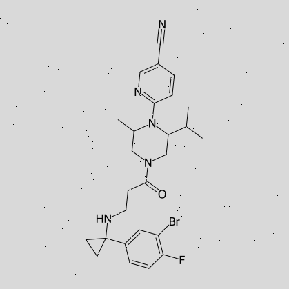 CC(C)C1CN(C(=O)CCNC2(c3ccc(F)c(Br)c3)CC2)CC(C)N1c1ccc(C#N)cn1